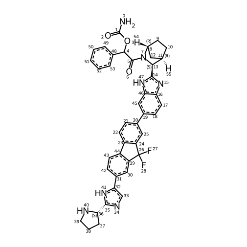 NC(=O)OC(C(=O)N1[C@@H]2CC[C@H](C2)[C@H]1c1nc2ccc(-c3ccc4c(c3)C(F)(F)c3cc(-c5cnc([C@@H]6CCCN6)[nH]5)ccc3-4)cc2[nH]1)c1ccccc1